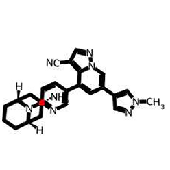 Cn1cc(-c2cc(-c3ccc(N4[C@@H]5CCC[C@H]4C[C@@H](N)C5)nc3)c3c(C#N)cnn3c2)cn1